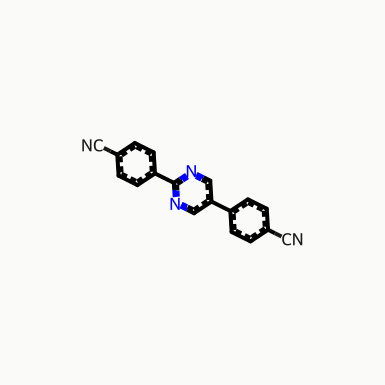 N#Cc1ccc(-c2cnc(-c3ccc(C#N)cc3)nc2)cc1